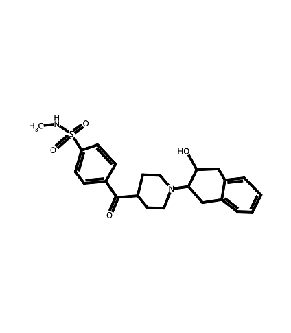 CNS(=O)(=O)c1ccc(C(=O)C2CCN(C3Cc4ccccc4CC3O)CC2)cc1